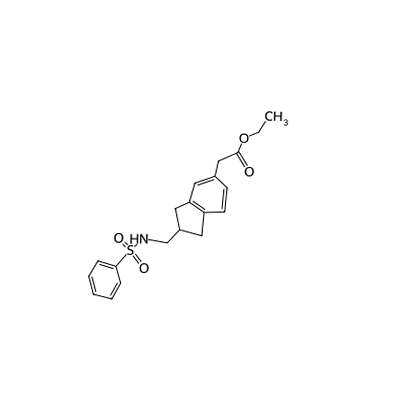 CCOC(=O)Cc1ccc2c(c1)CC(CNS(=O)(=O)c1ccccc1)C2